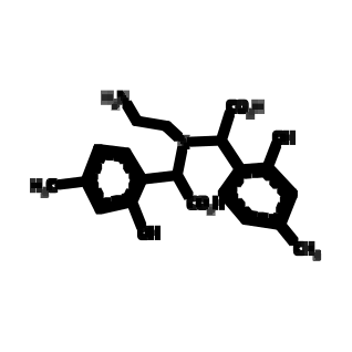 Cc1ccc(C(C(=O)O)N(CCN)C(C(=O)O)c2ccc(C)cc2O)c(O)c1